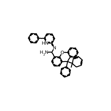 CC1(C2(c3ccccc3)c3ccccc3Oc3c(C(N)/N=c4/cccc(-c5ccccc5)[nH]4)cccc32)C=CC=CC1